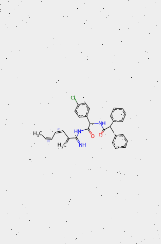 C=C(/C=C\C=C/C)C(=N)NC(=O)C(NC(=O)C(c1ccccc1)c1ccccc1)c1ccc(Cl)cc1